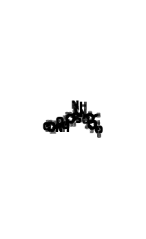 COc1cccc(C(C)CC(=O)Nc2sc3c(c2C#N)CCC(OC(=O)NC2CCOCC2)C3)c1